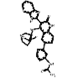 CC(=O)Nc1cccc(-c2ccc3[nH]c(=O)c(-c4nc5cccnc5[nH]4)c(N[C@H]4CN5CCC4CC5)c3c2)c1